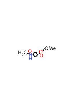 C=CC(=O)Nc1ccc(C(=O)OCCOC)cc1